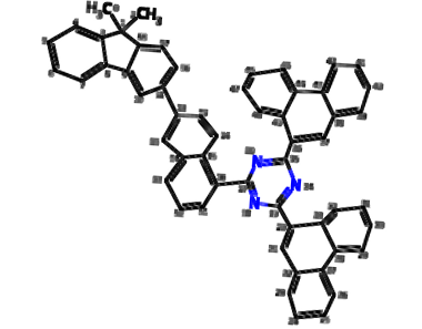 CC1(C)c2ccccc2-c2cc(-c3ccc4c(-c5nc(-c6cc7ccccc7c7ccccc67)nc(-c6cc7ccccc7c7ccccc67)n5)cccc4c3)ccc21